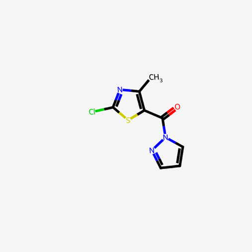 Cc1nc(Cl)sc1C(=O)n1cccn1